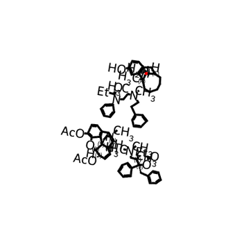 CC(=O)Oc1ccc2c3c1O[C@H]1[C@@H](OC(C)=O)C=C[C@H]4[C@@H](C2)N(C)CC[C@@]341.CCC(=O)N(CC(C)N(C)CCc1ccccc1)c1ccccc1.CCC(=O)O[C@](Cc1ccccc1)(c1ccccc1)[C@H](C)CN(C)C.C[C@@]12CCCCC[C@@H](Cc3ccc(O)cc31)[C@@H]2N